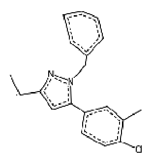 C[CH]c1cc(-c2ccc(Cl)c(C)c2)n(Cc2ccccc2)n1